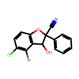 N#CC1(c2ccccc2)Oc2ccc(Cl)c(Br)c2C1O